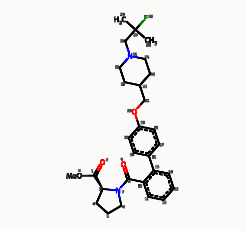 COC(=O)[C@@H]1CCCN1C(=O)c1ccccc1-c1ccc(OCC2CCN(CC(C)(C)F)CC2)cc1